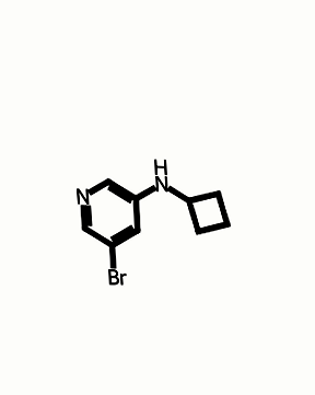 Brc1cncc(NC2CCC2)c1